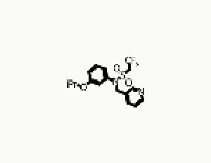 CC(C)Oc1cccc(N(Cc2cccnc2)S(=O)(=O)CC(F)(F)F)c1